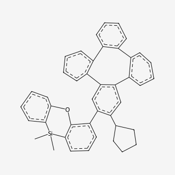 C[Si]1(C)c2ccccc2Oc2c(-c3cc4c(cc3C3CCCC3)-c3ccccc3-c3ccccc3-c3ccccc3-4)cccc21